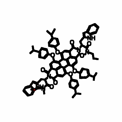 CCCN(C)C(=O)C(Cc1cc2ccccc2[nH]1)N1C(=O)c2cc(Oc3ccc(C(C)C)cc3)c3c4c(Oc5ccc(C(C)C)cc5)cc5c6c(cc(Oc7ccc(C(C)C)cc7)c(c7c(Oc8ccc(C(C)C)cc8)cc(c2c37)C1=O)c64)C(=O)N(C(Cc1cc2ccccc2[nH]1)C(=O)N(C)CCC)C5=O